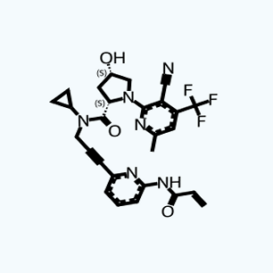 C=CC(=O)Nc1cccc(C#CCN(C(=O)[C@@H]2C[C@H](O)CN2c2nc(C)cc(C(F)(F)F)c2C#N)C2CC2)n1